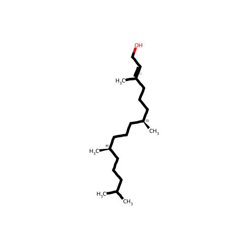 C/C(=C\CO)CCC[C@@H](C)CCC[C@H](C)CCCC(C)C